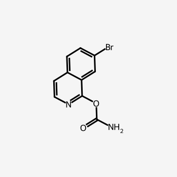 NC(=O)Oc1nccc2ccc(Br)cc12